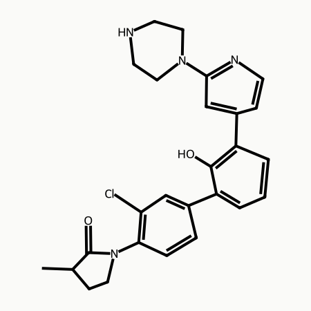 CC1CCN(c2ccc(-c3cccc(-c4ccnc(N5CCNCC5)c4)c3O)cc2Cl)C1=O